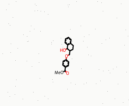 COC(=O)c1ccc(OCC2CCc3ccccc3C2O)cc1